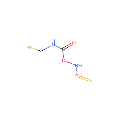 O=C(NCS)ONP=S